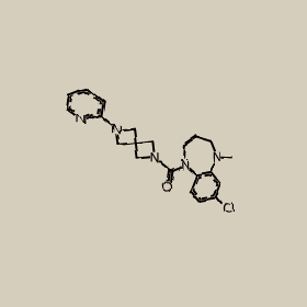 CN1CCCN(C(=O)N2CC3(C2)CN(c2ccccn2)C3)c2ccc(Cl)cc21